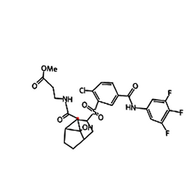 COC(=O)CCNC(=O)CC1(O)C2CCC1CC(S(=O)(=O)c1cc(C(=O)Nc3cc(F)c(F)c(F)c3)ccc1Cl)C2